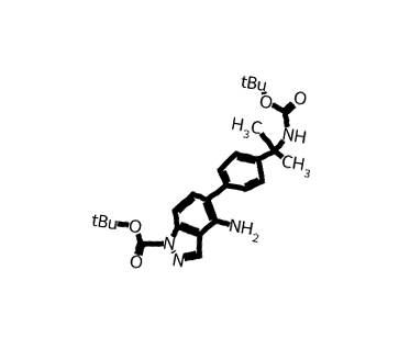 CC(C)(C)OC(=O)NC(C)(C)c1ccc(-c2ccc3c(cnn3C(=O)OC(C)(C)C)c2N)cc1